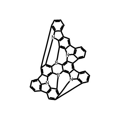 c1cc2c3cc4c5cccc6c7c8c9cccc%10c%11cc%12c%13cccc%14c%15c%16c(c1)c2n1c3c2c4n(c7c3c4c8n(c%11c7c%12n(c%15c(c(c%161)B23)B74)c%13%14)c%109)c56